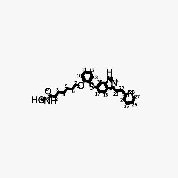 O=C(CCCCCCOc1ccccc1Sc1ccc2c(/C=C/c3ccccn3)n[nH]c2c1)NO